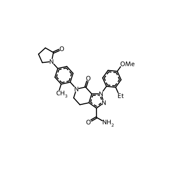 CCc1cc(OC)ccc1-n1nc(C(N)=O)c2c1C(=O)N(c1ccc(N3CCCC3=O)cc1C)CC2